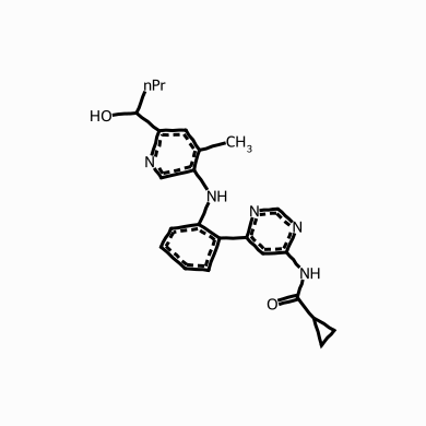 CCCC(O)c1cc(C)c(Nc2ccccc2-c2cc(NC(=O)C3CC3)ncn2)cn1